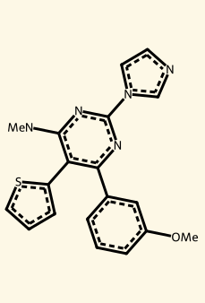 CNc1nc(-n2ccnc2)nc(-c2cccc(OC)c2)c1-c1cccs1